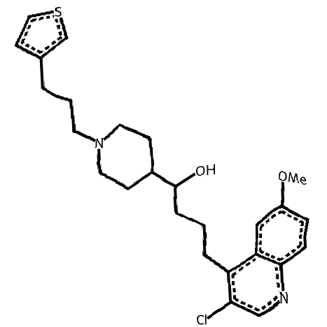 COc1ccc2ncc(Cl)c(CCCC(O)C3CCN(CCCc4ccsc4)CC3)c2c1